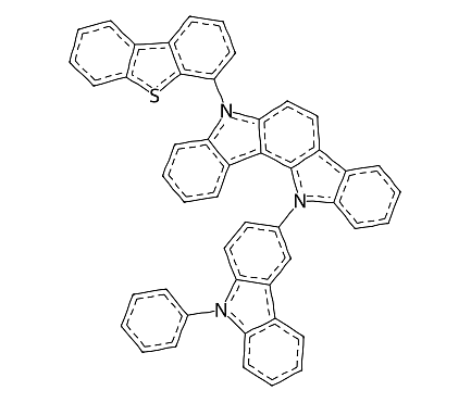 c1ccc(-n2c3ccccc3c3cc(-n4c5ccccc5c5ccc6c(c7ccccc7n6-c6cccc7c6sc6ccccc67)c54)ccc32)cc1